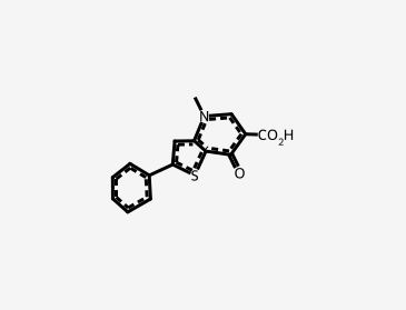 Cn1cc(C(=O)O)c(=O)c2sc(-c3ccccc3)cc21